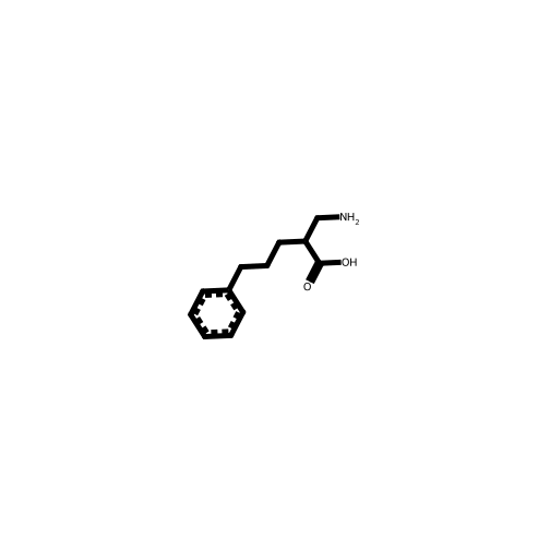 NCC(CCCc1ccccc1)C(=O)O